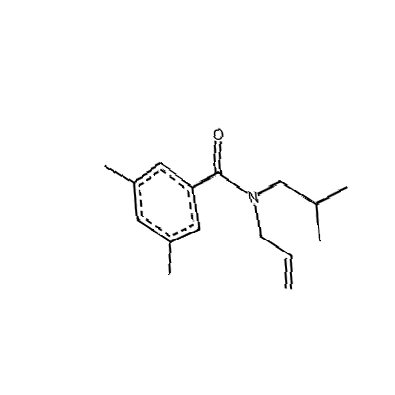 C=CCN(CC(C)C)C(=O)c1cc(C)cc(C)c1